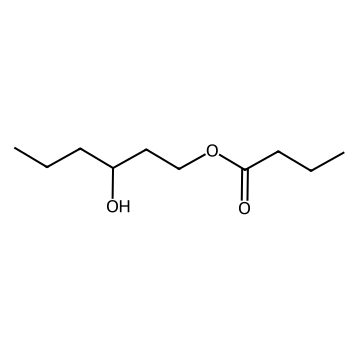 CCCC(=O)OCCC(O)CCC